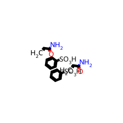 C=CC(N)=O.C=CC(N)=O.O=S(=O)(O)c1ccccc1.O=S(=O)(O)c1ccccc1